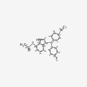 [C-]#[N+]c1ccc(C(c2ccc(F)cc2)c2c[nH]c3c(C[S+](C)[O-])cccc23)cc1